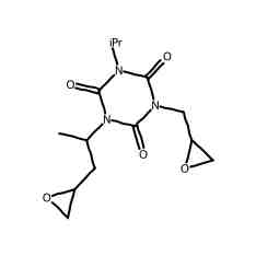 CC(C)n1c(=O)n(CC2CO2)c(=O)n(C(C)CC2CO2)c1=O